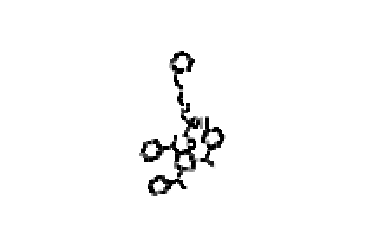 CC(c1ccccc1)c1cc(C(C)c2ccccc2)c(OCC(O)COCCCc2ccccc2)c(C(C)c2ccccc2)c1